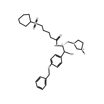 O=C(CCCCS(=O)(=O)C1CCCCC1)N[C@H](CN1CC[C@@H](F)C1)C(O)c1ccc(OCc2ccccc2)cc1